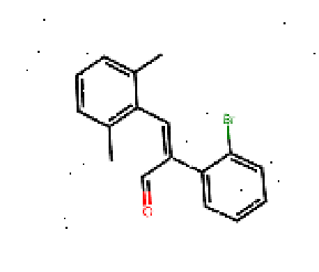 Cc1cccc(C)c1C=C(C=O)c1ccccc1Br